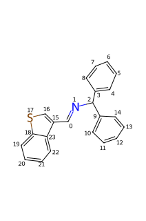 C(=N\C(c1ccccc1)c1ccccc1)/c1csc2ccccc12